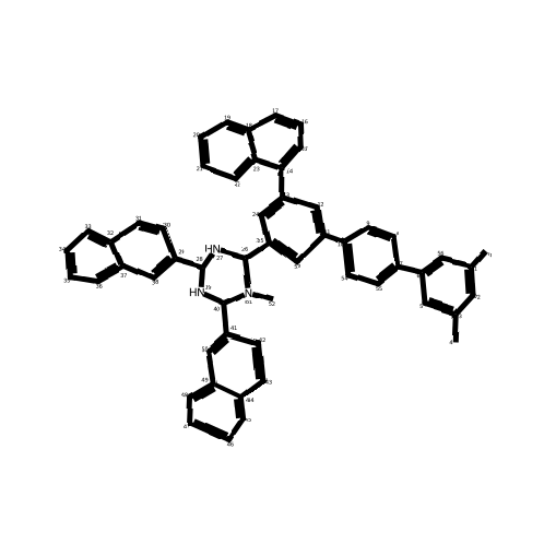 Cc1cc(C)cc(-c2ccc(-c3cc(-c4cccc5ccccc45)cc(C4NC(c5ccc6ccccc6c5)NC(c5ccc6ccccc6c5)N4C)c3)cc2)c1